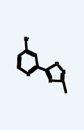 Cc1noc(-c2cc(Br)ccn2)n1